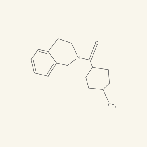 O=C(C1CCC(C(F)(F)F)CC1)N1CCc2ccccc2C1